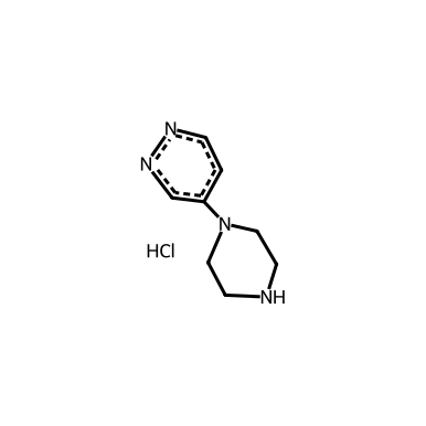 Cl.c1cc(N2CCNCC2)cnn1